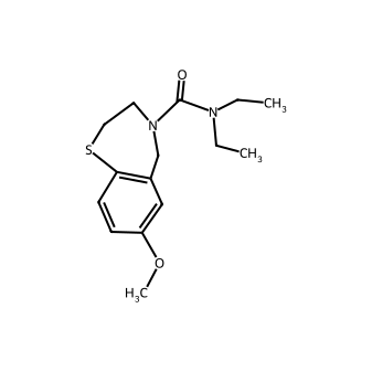 CCN(CC)C(=O)N1CCSc2ccc(OC)cc2C1